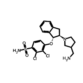 NCC1CCN([C@@H]2Cc3ccccc3[C@H]2Oc2ccc(S(N)(=O)=O)c(Cl)c2Cl)C1